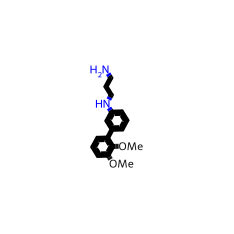 COc1cccc(-c2cccc(NCCCN)c2)c1OC